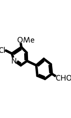 COc1cc(-c2ccc(C=O)cc2)cnc1Cl